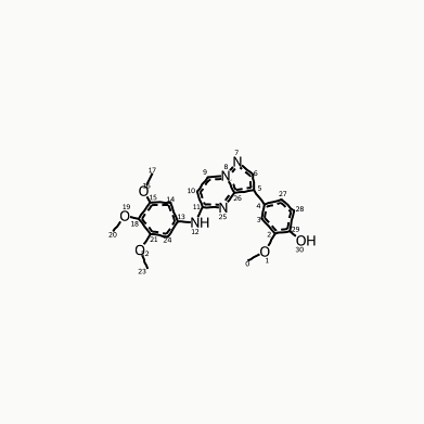 COc1cc(-c2cnn3ccc(Nc4cc(OC)c(OC)c(OC)c4)nc23)ccc1O